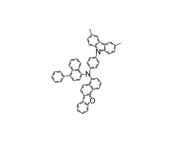 Cc1ccc2c(c1)c1cc(C)ccc1n2-c1ccc(N(c2ccc(-c3ccccc3)c3ccccc23)c2cccc3c2ccc2c4ccccc4oc32)cc1